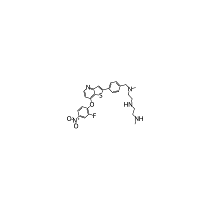 CNCCNCCN(C)Cc1ccc(-c2cc3nccc(Oc4ccc([N+](=O)[O-])cc4F)c3s2)cc1